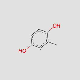 Cc1[c]c(O)ccc1O